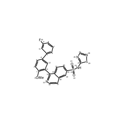 COc1ccc(-c2cccc(F)c2)cc1-c1nccc2cc(S(=O)(=O)Nc3ncns3)ccc12